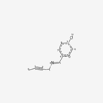 CC#CCN=Cc1ccc(Cl)cc1